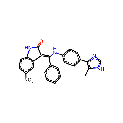 Cc1[nH]cnc1-c1ccc(N/C(=C2\C(=O)Nc3ccc([N+](=O)[O-])cc32)c2ccccc2)cc1